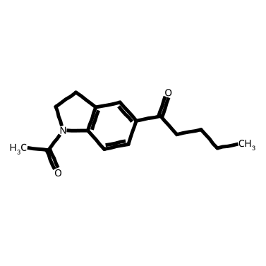 CCCCC(=O)c1ccc2c(c1)CCN2C(C)=O